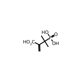 C=C(C(=O)O)C(C)(C)P(=O)(O)O